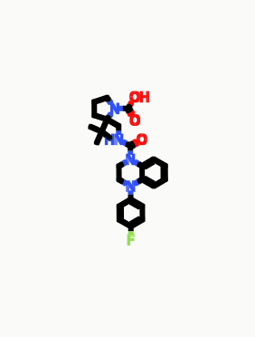 CC(C)(C)C1(CNC(=O)N2CCN(c3ccc(F)cc3)c3ccccc32)CCCN1C(=O)O